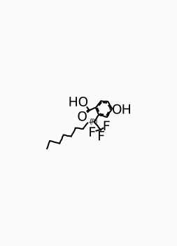 CCCCCCCC[C@H](c1cc(O)ccc1C(=O)O)C(F)(F)F